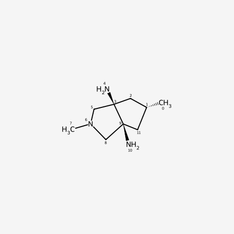 C[C@H]1C[C@@]2(N)CN(C)C[C@@]2(N)C1